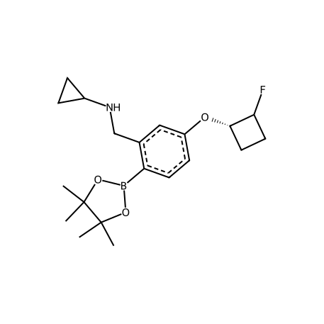 CC1(C)OB(c2ccc(O[C@H]3CCC3F)cc2CNC2CC2)OC1(C)C